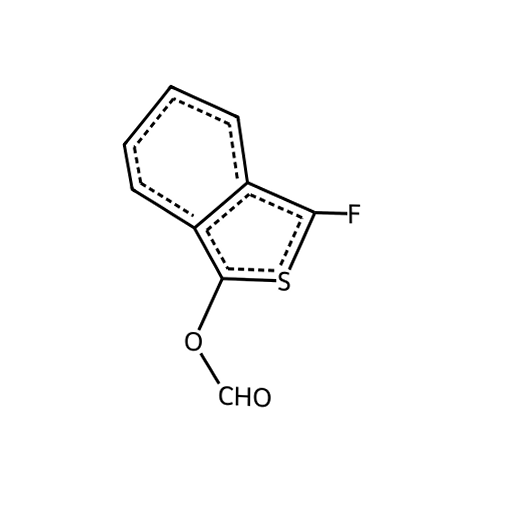 O=COc1sc(F)c2ccccc12